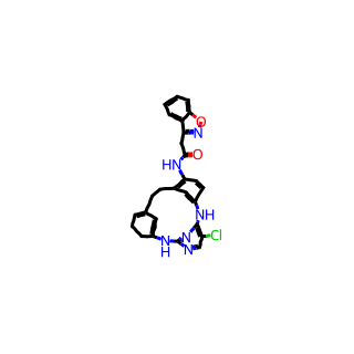 O=C(Cc1noc2ccccc12)Nc1ccc2cc1CCC1=CCCC(=C1)Nc1ncc(Cl)c(n1)N2